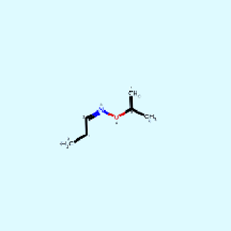 [CH2]C/C=N\OC(C)C